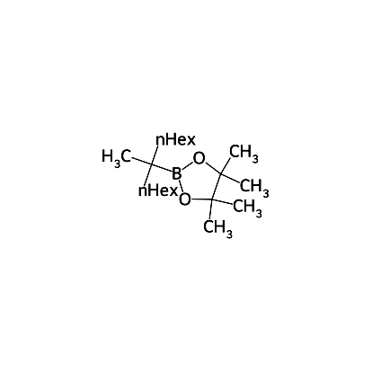 CCCCCCC(C)(CCCCCC)B1OC(C)(C)C(C)(C)O1